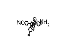 N#Cc1ccc(-c2cc(C(=O)N3CCC[C@@H](N)C3)nn2-c2ccc(C3CC3)cc2F)cc1